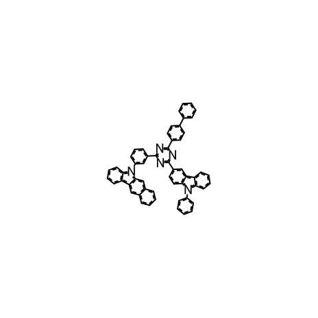 c1ccc(-c2ccc(-c3nc(-c4cccc(-n5c6ccccc6c6cc7ccccc7cc65)c4)nc(-c4ccc5c(c4)c4ccccc4n5-c4ccccc4)n3)cc2)cc1